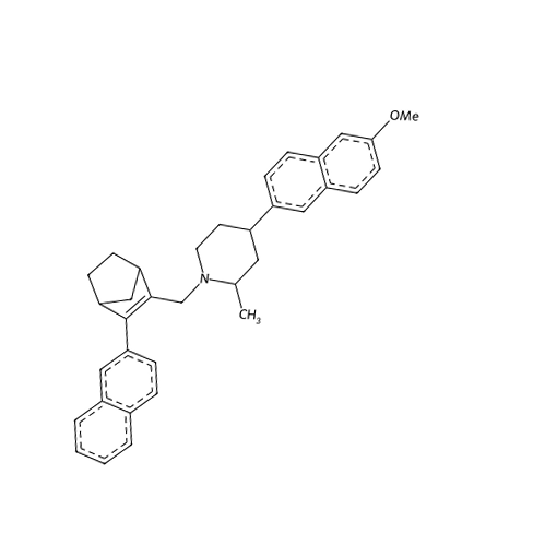 COc1ccc2cc(C3CCN(CC4=C(c5ccc6ccccc6c5)C5CCC4C5)C(C)C3)ccc2c1